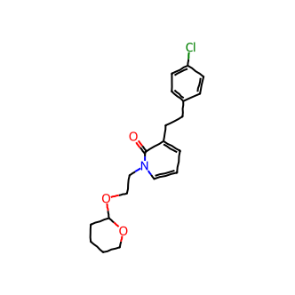 O=c1c(CCc2ccc(Cl)cc2)cccn1CCOC1CCCCO1